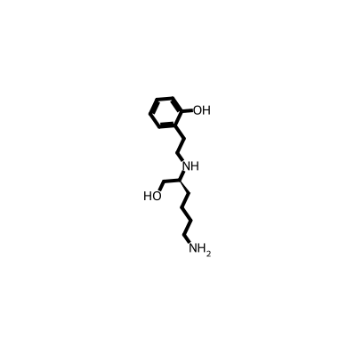 NCCCC[C@@H](CO)NCCc1ccccc1O